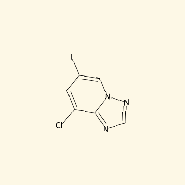 Clc1cc(I)cn2ncnc12